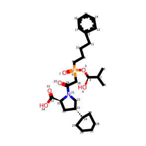 CC(C)[C@@H](O)OP(=O)(CCCCc1ccccc1)CC(=O)N1C[C@H](C2CCCCC2)C[C@H]1C(=O)O